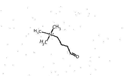 C[N+](C)(C)CCC[C]=O